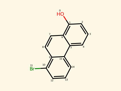 Oc1cccc2c1ccc1c(Br)cccc12